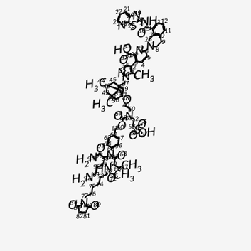 Cc1c(-c2ccc(N3CCc4cccc(C(=O)Nc5nc6cccnc6s5)c4C3)nc2C(=O)O)cnn1CC12CC3(C)CC(C)(C1)CC(OCCN(CCS(=O)(=O)O)C(=O)OCc1ccc(N(C(=O)[C@@H](NC(=O)CCCCCN4C(=O)C=CC4=O)C(C)C)[C@@H](CCCN)C(N)=O)cc1)(C3)C2